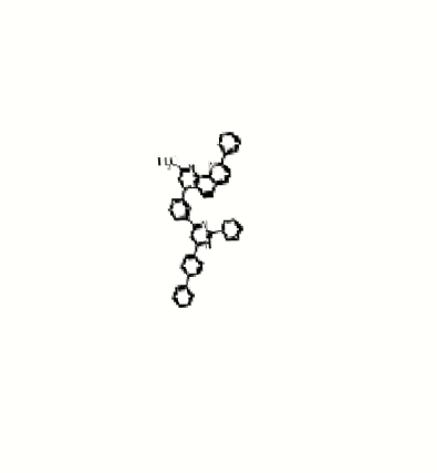 Cc1cc(-c2cccc(-c3cc(-c4ccc(-c5ccccc5)cc4)nc(-c4ccccc4)n3)c2)c2c#cc3ccc(-c4ccccc4)nc3c2n1